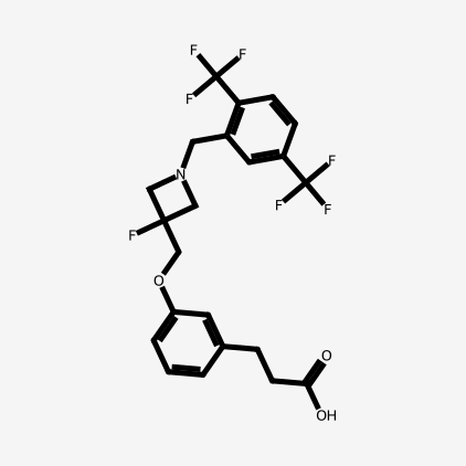 O=C(O)CCc1cccc(OCC2(F)CN(Cc3cc(C(F)(F)F)ccc3C(F)(F)F)C2)c1